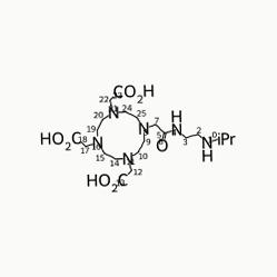 CC(C)NCCNC(=O)CN1CCN(CC(=O)O)CCN(CC(=O)O)CCN(CC(=O)O)CC1